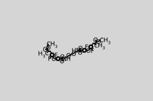 CCOC(=O)/C(C)=C/c1cc(F)c(Oc2ccc(S(=O)(=O)NCCOCCOCCNS(=O)(=O)c3ccc(Oc4c(F)cc(/C=C(\C)C(=O)OCC)cc4F)cc3)cc2)c(F)c1